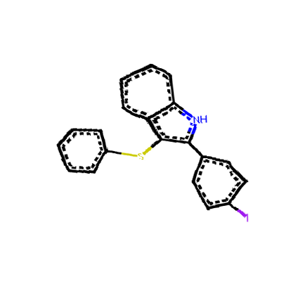 Ic1ccc(-c2[nH]c3ccccc3c2Sc2ccccc2)cc1